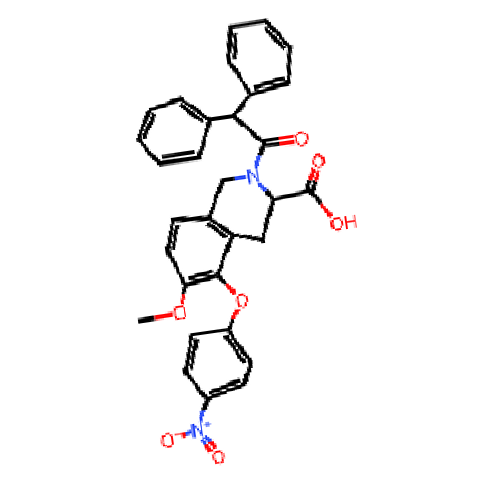 COc1ccc2c(c1Oc1ccc([N+](=O)[O-])cc1)CC(C(=O)O)N(C(=O)C(c1ccccc1)c1ccccc1)C2